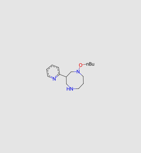 CCCCON1CCCNCC(c2ccccn2)C1